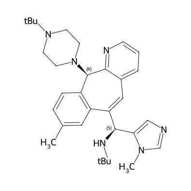 Cc1ccc2c(c1)C([C@H](NC(C)(C)C)c1cncn1C)=Cc1cccnc1[C@@H]2N1CCN(C(C)(C)C)CC1